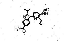 CCCc1nc(-n2c(C(C)C)nc3cc(C(=O)NC)ccc32)ccc1NC=O